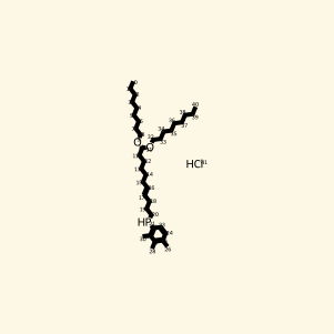 CCCCCCCCCOC(CCCCCC=CCCCPc1ccc(C)c(C)c1C)OCCCCCCCCC.Cl